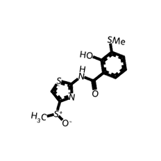 CSc1cccc(C(=O)Nc2nc([S+](C)[O-])cs2)c1O